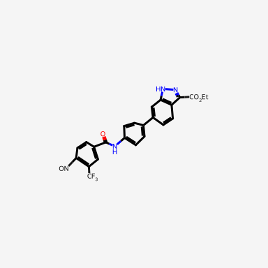 CCOC(=O)c1n[nH]c2cc(-c3ccc(NC(=O)c4ccc(N=O)c(C(F)(F)F)c4)cc3)ccc12